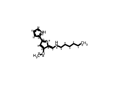 CCCCCCN/C=C1\N=C(c2ccc[nH]2)C=C1OC